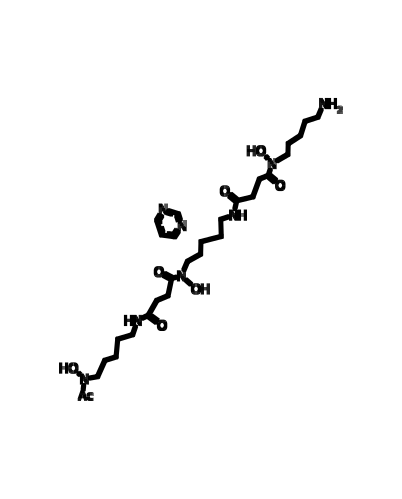 CC(=O)N(O)CCCCCNC(=O)CCC(=O)N(O)CCCCCNC(=O)CCC(=O)N(O)CCCCCN.c1cncnc1